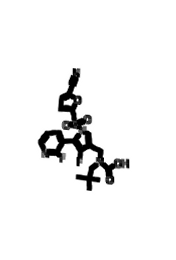 CC(C)(C)CN(Cc1cn(S(=O)(=O)c2ccc(C#N)o2)c(-c2cccnc2F)c1F)C(=O)O